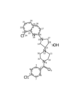 O=C(c1ccc(Cl)cc1)N1CCN([C@H]2CN(c3ccc4cccc(Cl)c4n3)C[C@@H]2O)CC1